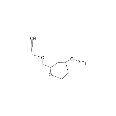 C#CCOCC1CC(O[SiH3])CCO1